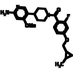 COc1cc(N)ncc1C1CCN(C(=O)c2ccc(OCC3CC3C)cc2F)CC1